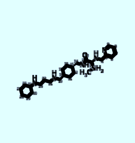 C[SiH2][C@H](NCc1ccccn1)C(=O)NC[C@H]1CC[C@H](CNCCCNC2CCCCC2)CC1